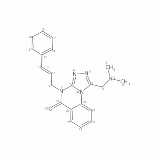 CN(C)Cc1nnc2n(C/C=C/c3ccccc3)c(=O)c3ccccc3n12